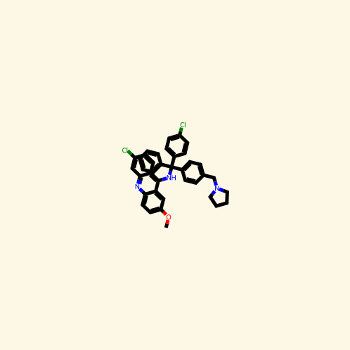 COc1ccc2nc3cc(Cl)ccc3c(NC(c3ccccc3)(c3ccc(Cl)cc3)c3ccc(CN4CCCC4)cc3)c2c1